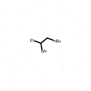 [CH2]CC(CCC)CCCCC